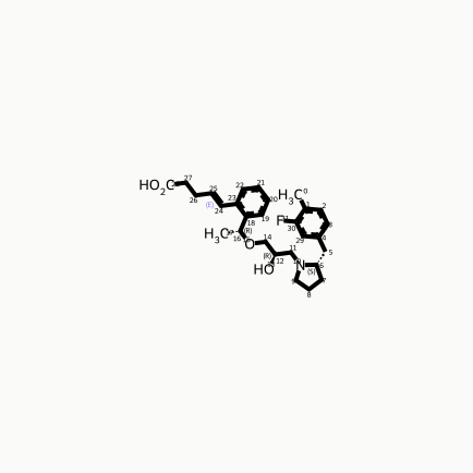 Cc1ccc(C[C@@H]2CCCN2C[C@@H](O)CO[C@H](C)c2ccccc2/C=C/CCC(=O)O)cc1F